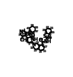 Cc1cnccc1C1=CC=C(N2CCc3cccc(C(=O)Nc4nc5ccccc5s4)c3C2)NC1(OC1CCCCC1)C(=O)O